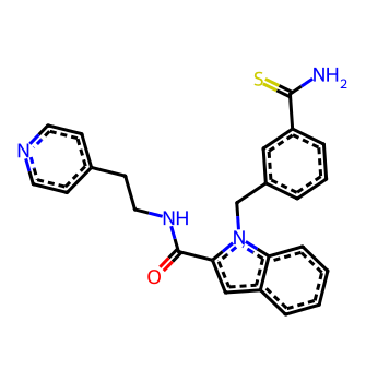 NC(=S)c1cccc(Cn2c(C(=O)NCCc3ccncc3)cc3ccccc32)c1